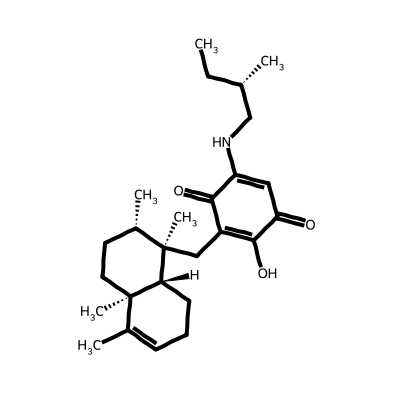 CC[C@H](C)CNC1=CC(=O)C(O)=C(C[C@]2(C)[C@@H](C)CC[C@]3(C)C(C)=CCC[C@@H]23)C1=O